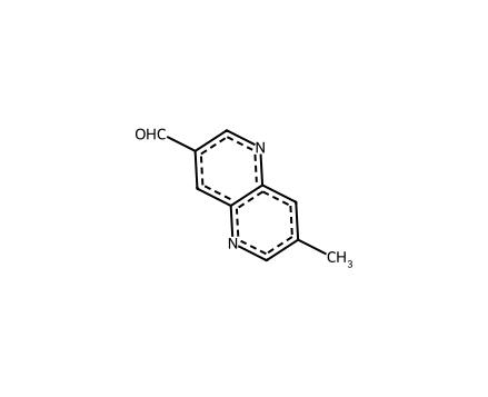 Cc1cnc2cc(C=O)cnc2c1